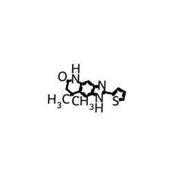 CC1(C)CC(=O)Nc2cc3nc(-c4cccs4)[nH]c3cc21